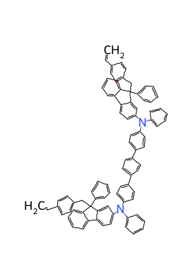 C=Cc1ccc(CC2(c3ccccc3)c3ccccc3-c3ccc(N(c4ccccc4)c4ccc(-c5ccc(-c6ccc(N(c7ccccc7)c7ccc8c(c7)C(Cc7ccc(C=C)cc7)(c7ccccc7)c7ccccc7-8)cc6)cc5)cc4)cc32)cc1